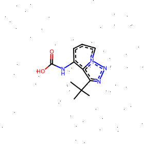 CC(C)(C)c1nnn2cccc(NC(=O)O)c12